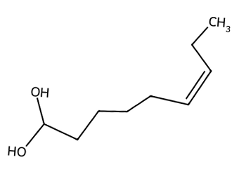 CC/C=C\CCCCC(O)O